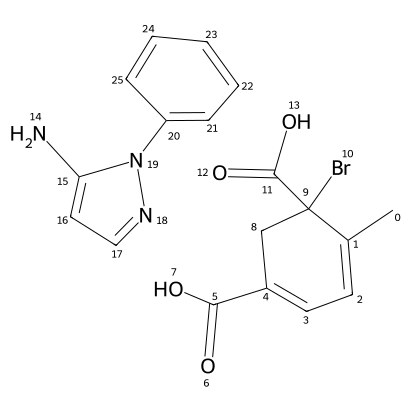 CC1=CC=C(C(=O)O)CC1(Br)C(=O)O.Nc1ccnn1-c1ccccc1